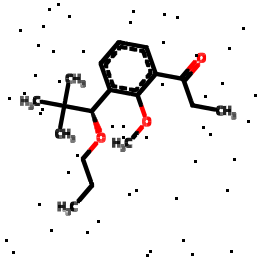 CCCO[C@H](c1cccc(C(=O)CC)c1OC)C(C)(C)C